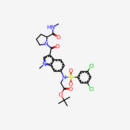 CNC(=O)C1CCCN1C(=O)c1cn(C)c2cc(N(CC(=O)OC(C)(C)C)S(=O)(=O)c3cc(Cl)cc(Cl)c3)ccc12